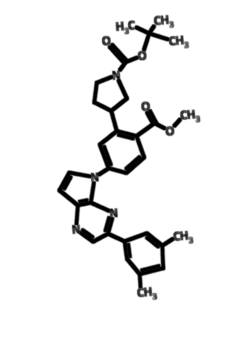 COC(=O)c1ccc(-n2ccc3ncc(-c4cc(C)cc(C)c4)nc32)cc1C1CCN(C(=O)OC(C)(C)C)C1